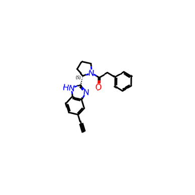 C#Cc1ccc2[nH]c([C@@H]3CCCN3C(=O)Cc3ccccc3)nc2c1